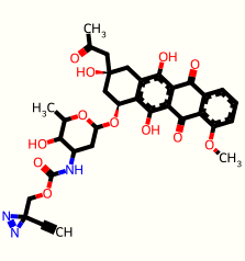 C#CC1(COC(=O)NC2CC(O[C@H]3C[C@](O)(CC(C)=O)Cc4c(O)c5c(c(O)c43)C(=O)c3c(OC)cccc3C5=O)OC(C)C2O)N=N1